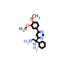 COc1ccc(-c2cc(C(N)(CN)c3ccccc3)ncn2)cc1OC